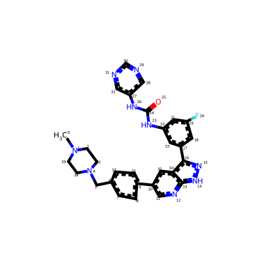 CN1CCN(Cc2ccc(-c3cnc4[nH]nc(-c5cc(F)cc(NC(=O)Nc6cncnc6)c5)c4c3)cc2)CC1